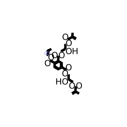 C=C(C)C(=O)OCC(O)COC(=O)c1ccc(C(=O)O/C=C\C)c(C(=O)OCC(O)COC(=O)C(=C)C)c1